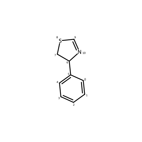 [c]1ccccc1C1CSC=N1